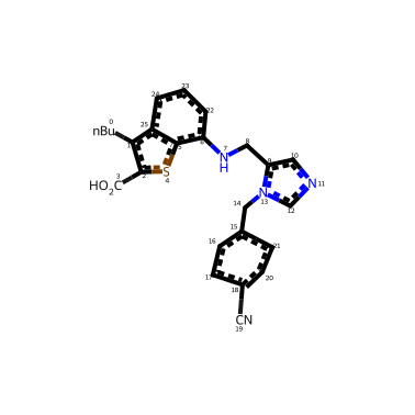 CCCCc1c(C(=O)O)sc2c(NCc3cncn3Cc3ccc(C#N)cc3)cccc12